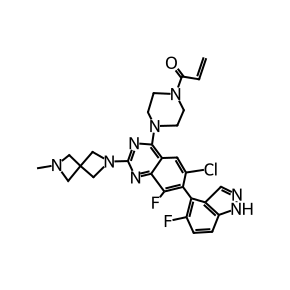 C=CC(=O)N1CCN(c2nc(N3CC4(CN(C)C4)C3)nc3c(F)c(-c4c(F)ccc5[nH]ncc45)c(Cl)cc23)CC1